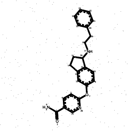 NC(=O)c1ccc(Oc2ccc3c(c2)CCC3NCCc2ccccc2)nc1